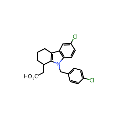 O=C(O)CC1CCCc2c1n(Cc1ccc(Cl)cc1)c1ccc(Cl)cc21